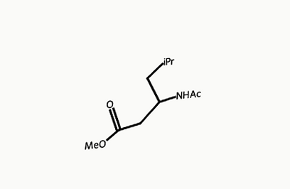 COC(=O)CC(CC(C)C)NC(C)=O